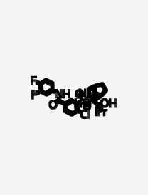 CC(C)[C@H](O)[C@@H](O)[C@]1(O)C2CCC1C[C@@H](S(=O)(=O)c1cc(C(=O)Nc3ccc(F)c(F)c3)ccc1Cl)C2